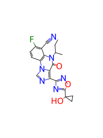 CCC(C)n1c(=O)c2c(-c3noc(C4(O)CC4)n3)ncn2c2ccc(F)c(C#N)c21